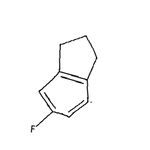 Fc1c[c]c2c(c1)CCC2